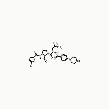 CC(C)CC(NC(=O)c1ccc(N2CCNCC2)cc1)C(=O)N1CCC2C1C(=O)CN2C(=O)c1ccc(Cl)s1